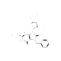 Nc1nc2c(c(=O)[nH]1)n(Cc1ccccc1)c(=O)n2[C@@H]1O[C@H](CO)C[C@H]1O